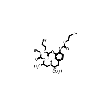 CC(C)CCOC(=O)Oc1ccc(C[C@H](NCC(C)OC(=O)OC(C)C)C(=O)O)cc1OC(=O)OCCC(C)C